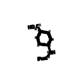 CCCC(C)Nc1ccc(C(=O)O)cc1